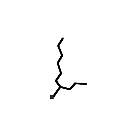 [Li][CH](CCC)CCCCCC